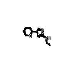 CCNn1ncc(-c2ccccn2)n1